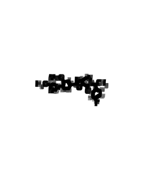 COc1cc(-c2nc3cnn(C(C)c4ccc(F)cc4)c(=O)c3o2)ccc1-n1cnc(C)c1